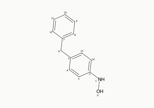 ONc1ccc(Cc2ccccc2)cc1